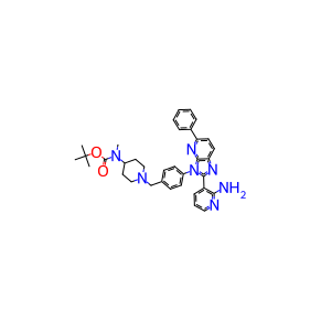 CN(C(=O)OC(C)(C)C)C1CCN(Cc2ccc(-n3c(-c4cccnc4N)nc4ccc(-c5ccccc5)nc43)cc2)CC1